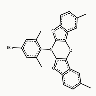 Cc1ccc2oc3c(c2c1)Oc1c(sc2ccc(C)cc12)N3c1c(C)cc(C(C)(C)C)cc1C